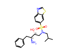 CC(C)CN(C[C@@H](O)[C@@H](N)Cc1ccccc1)S(=O)(=O)c1ccc2ncsc2c1